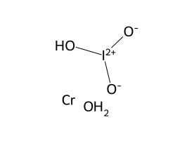 O.[Cr].[O-][I+2]([O-])O